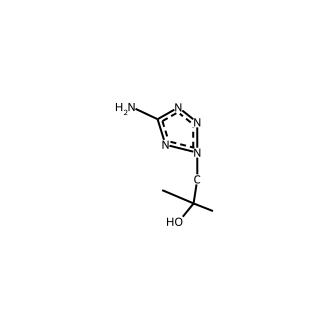 CC(C)(O)Cn1nnc(N)n1